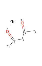 CC(=O)CC(C)=O.[Yb]